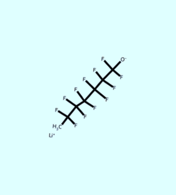 CC(F)(F)C(F)(F)C(F)(F)C(F)(F)C(F)(F)C([O-])(F)F.[Li+]